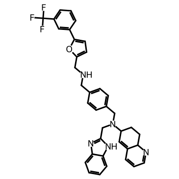 FC(F)(F)c1cccc(-c2ccc(CNCc3ccc(CN(Cc4nc5ccccc5[nH]4)C4C=C5C=CC=NC5CC4)cc3)o2)c1